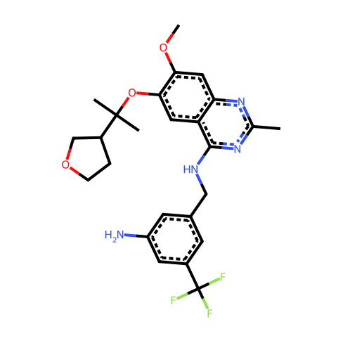 COc1cc2nc(C)nc(NCc3cc(N)cc(C(F)(F)F)c3)c2cc1OC(C)(C)C1CCOC1